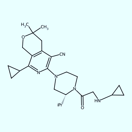 CC(C)[C@@H]1CN(c2nc(C3CC3)c3c(c2C#N)CC(C)(C)OC3)CCN1C(=O)CNC1CC1